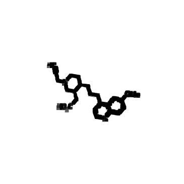 C#CCN1CC[C@@H](CCCc2ccnc3ccc(OC)cc23)[C@@H](CC(=O)O)C1